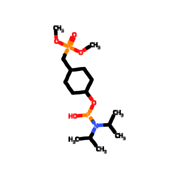 COP(=O)(CC1CCC(OP(O)N(C(C)C)C(C)C)CC1)OC